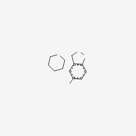 C1CCNCC1.O=C(O)c1ccc2c(c1)COO2